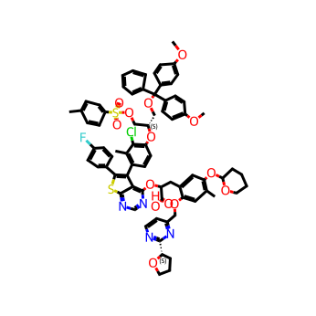 COc1ccc(C(OC[C@@H](COS(=O)(=O)c2ccc(C)cc2)Oc2ccc(-c3c(-c4ccc(F)cc4)sc4ncnc(OC(Cc5cc(OC6CCCCO6)c(C)cc5OCc5ccnc([C@@H]6CCCO6)n5)C(=O)O)c34)c(C)c2Cl)(c2ccccc2)c2ccc(OC)cc2)cc1